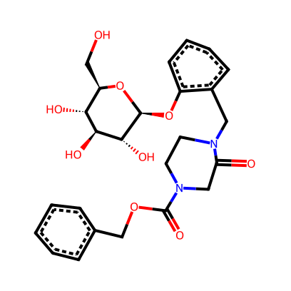 O=C1CN(C(=O)OCc2ccccc2)CCN1Cc1ccccc1O[C@@H]1O[C@H](CO)[C@@H](O)[C@H](O)[C@H]1O